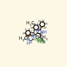 Cc1cccc(C(c2cccc(C)c2)C(C)(c2nc(-c3ccccc3)[nH]c2C)N2CCNCC2)c1.Cl.Cl.Cl